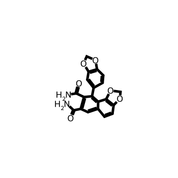 NC(=O)c1cc2ccc3c(c2c(-c2ccc4c(c2)OCO4)c1C(N)=O)OCO3